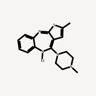 CCN1C(N2CCN(C)CC2)=c2cc(C)sc2=Nc2ccccc21